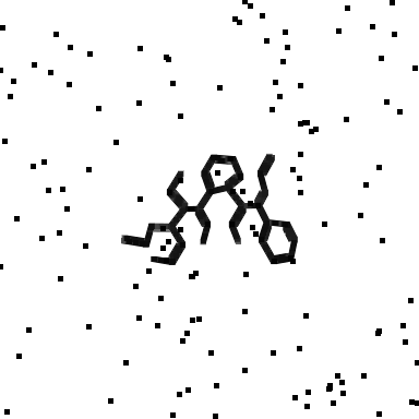 C=C/C=C(\C(=C/C)c1ccccc1C(=C/C)/C(=C\C)C(/C=C\C)=C/C=C)c1ccccc1